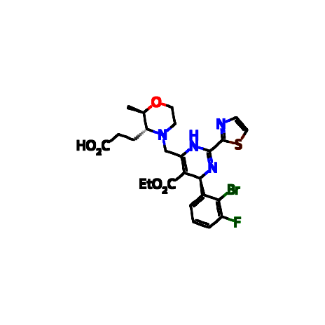 CCOC(=O)C1=C(CN2CCO[C@H](C)[C@H]2CCC(=O)O)NC(c2nccs2)=N[C@H]1c1cccc(F)c1Br